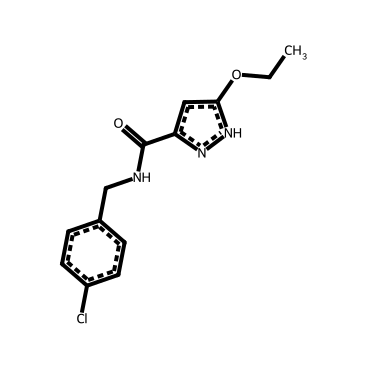 CCOc1cc(C(=O)NCc2ccc(Cl)cc2)n[nH]1